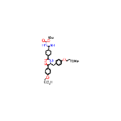 COCCOc1ccc(CC(NC(=O)c2ccc(C(=N)NC(=O)OC(C)(C)C)cc2)C(=O)c2ccc(OCC(=O)O)cc2)cc1